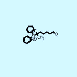 CC(C)(CCCCC=O)[Si](O)(c1ccccc1)c1ccccc1